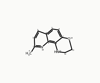 Cc1ccc2ccc3c(c2n1)NCCO3